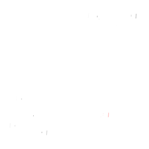 CC(C)c1cccc(-c2ccc(C(C)(C)C)cc2O)c1